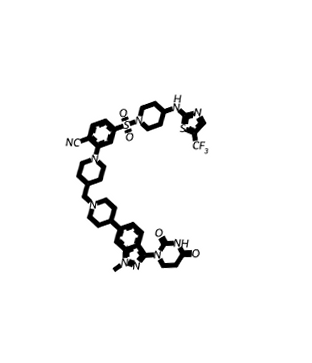 Cn1nc(N2CCC(=O)NC2=O)c2ccc(C3CCN(CC4CCN(c5cc(S(=O)(=O)N6CCC(Nc7ncc(C(F)(F)F)s7)CC6)ccc5C#N)CC4)CC3)cc21